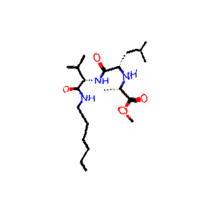 CCCCCCNC(=O)[C@@H](NC(=O)[C@H](CC(C)C)N[C@@H](C)C(=O)OC)C(C)C